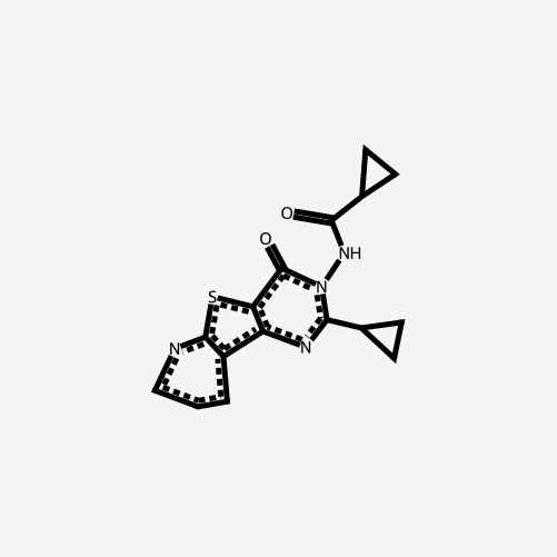 O=C(Nn1c(C2CC2)nc2c(sc3ncccc32)c1=O)C1CC1